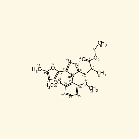 CCOC(=O)C(C)Sc1nnc(-c2ccc(C)o2)n1-c1c(OC)cccc1OC